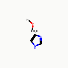 CCOC(=O)O.c1c[nH]cn1